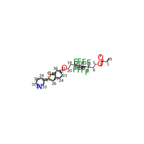 C=CC(=O)OCCC(F)(F)C(F)(F)C(F)(F)C(F)(F)CCOc1ccc2cc(-c3cccnc3)sc2c1